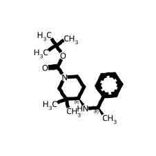 C[C@@H](N[C@@H]1CCN(C(=O)OC(C)(C)C)CC1(C)C)c1ccccc1